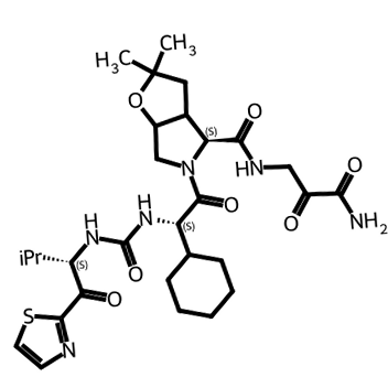 CC(C)[C@H](NC(=O)N[C@H](C(=O)N1CC2OC(C)(C)CC2[C@H]1C(=O)NCC(=O)C(N)=O)C1CCCCC1)C(=O)c1nccs1